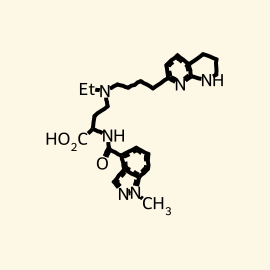 CCN(CCCCc1ccc2c(n1)NCCC2)CCC(NC(=O)c1cccc2c1cnn2C)C(=O)O